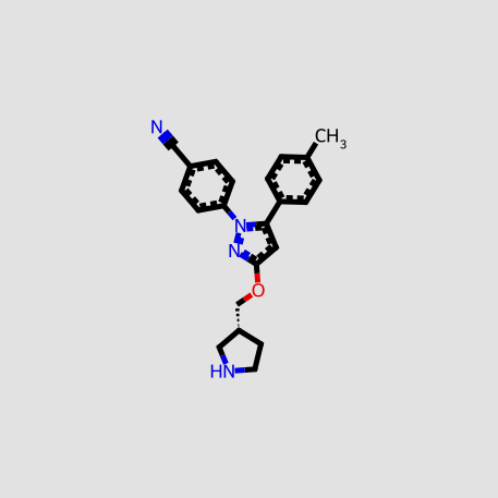 Cc1ccc(-c2cc(OC[C@@H]3CCNC3)nn2-c2ccc(C#N)cc2)cc1